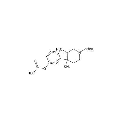 CCCCCCN1CCC(C)(c2cccc(OC(=O)C(C)(C)C)c2)C(C)C1